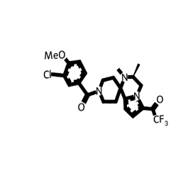 COc1ccc(C(=O)N2CCC3(CC2)c2ccc(C(=O)C(F)(F)F)n2C[C@H](C)N3C)cc1Cl